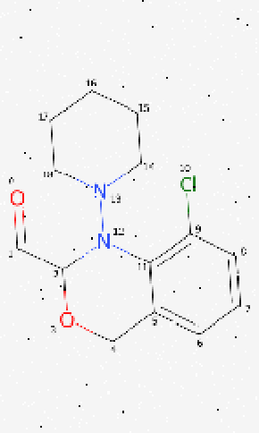 O=CC1OCc2cccc(Cl)c2N1N1CCCCC1